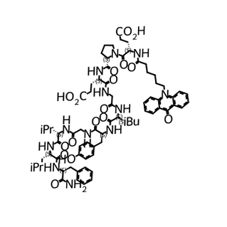 CC[C@H](C)[C@H](NC(=O)CNC(=O)[C@H](CCC(=O)O)NC(=O)[C@@H]1CCCN1C(=O)[C@H](CCC(=O)O)NC(=O)CCCCCn1c2ccccc2c(=O)c2ccccc21)C(=O)N[C@@H](Cc1ccc(O)cc1)C(=O)NCC(=O)N[C@H](C(=O)N[C@@H](CC(C)C)C(=O)N[C@@H](Cc1ccccc1)C(N)=O)C(C)C